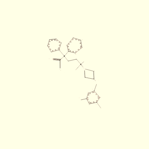 CC(C)(CCC(C(N)=O)(c1ccccc1)c1ccccc1)N1CC(Oc2cc(O)cc(F)c2)C1